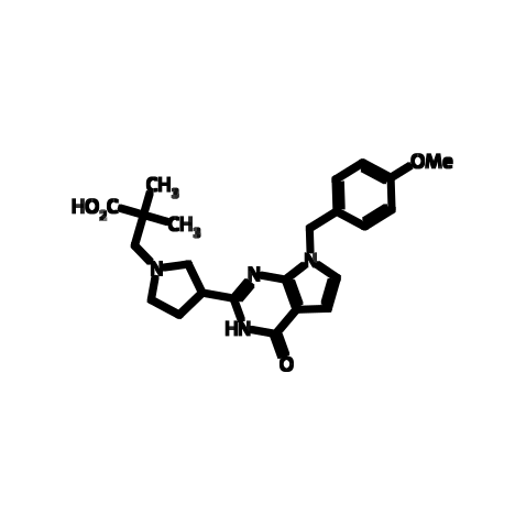 COc1ccc(Cn2ccc3c(=O)[nH]c(C4CCN(CC(C)(C)C(=O)O)C4)nc32)cc1